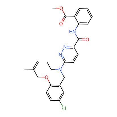 C=C(C)COc1ccc(Cl)cc1CN(CC)c1ccc(C(=O)Nc2ccccc2C(=O)OC)nn1